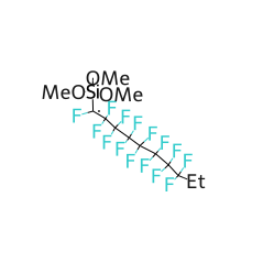 CCC(F)(F)C(F)(F)C(F)(F)C(F)(F)C(F)(F)C(F)(F)C(F)(F)[C](F)[Si](OC)(OC)OC